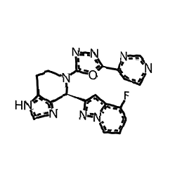 Fc1cccn2nc([C@H]3c4nc[nH]c4CCN3c3nnc(-c4ccncn4)o3)cc12